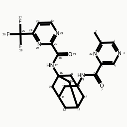 Cc1cncc(C(=O)NC23CC4CC(C2)CC(NC(=O)c2nccc(C(F)(F)F)n2)(C4)C3)n1